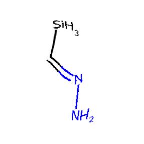 NN=C[SiH3]